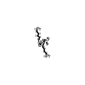 CC(C)CCCC[CH2][Mo](=[O])([CH2]CCCCC(C)C)[S]P(=S)=S